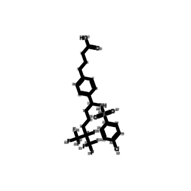 O=C(O)CCCc1ccc(C(CCCC(F)(C(F)(F)F)C(F)(F)F)NS(=O)(=O)c2ccc(Cl)cc2)cc1